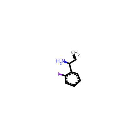 C=CC(N)c1ccccc1I